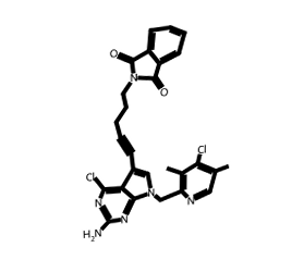 Cc1cnc(Cn2cc(C#CCCCN3C(=O)c4ccccc4C3=O)c3c(Cl)nc(N)nc32)c(C)c1Cl